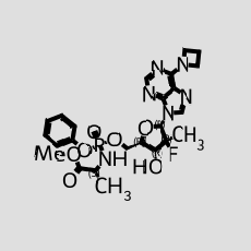 COC(=O)[C@H](C)NP(=O)(OC[C@H]1O[C@@H](n2cnc3c(N4CCC4)ncnc32)[C@](C)(F)[C@@H]1O)Oc1ccccc1